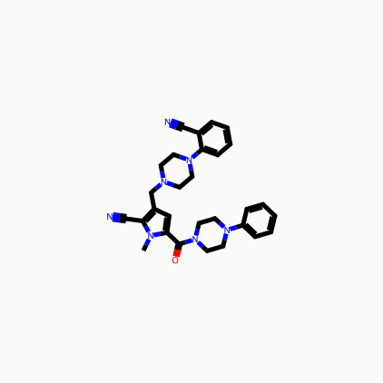 Cn1c(C(=O)N2CCN(c3ccccc3)CC2)cc(CN2CCN(c3ccccc3C#N)CC2)c1C#N